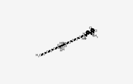 CCCOCCOCCOCCOCCNC(=O)C(O)C[C@@H](O)C(O)C(=O)NCCOCCOCCOCCOCCN/C=C(\C=C=N)c1cccc(C2CN(C)Cc3c(Cl)cc(Cl)cc32)c1